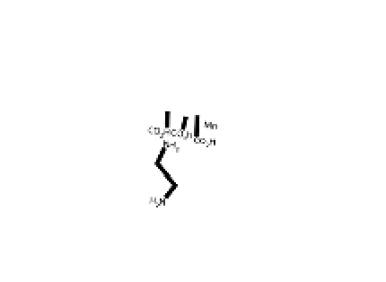 CC(=O)O.CC(=O)O.CC(=O)O.NCCN.[Mn]